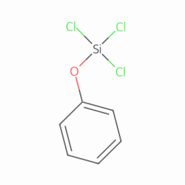 Cl[Si](Cl)(Cl)Oc1ccccc1